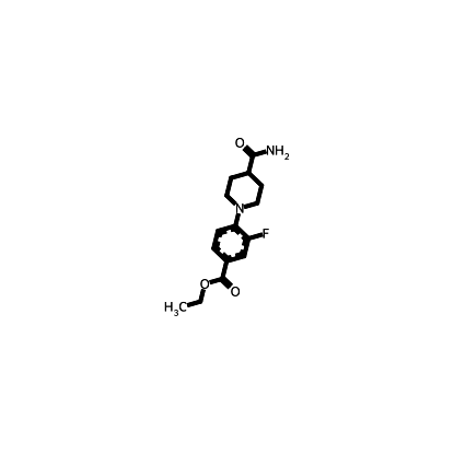 CCOC(=O)c1ccc(N2CCC(C(N)=O)CC2)c(F)c1